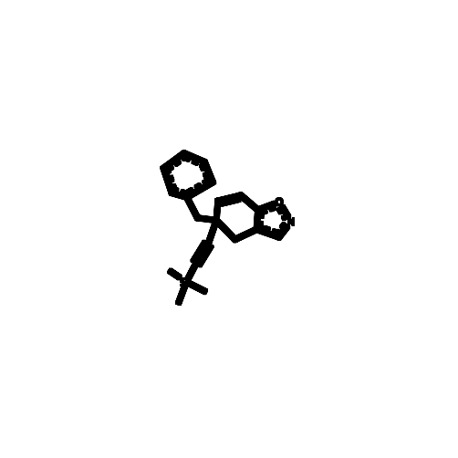 C[Si](C)(C)C#CC1(Cc2ccccc2)C=Cc2oncc2C1